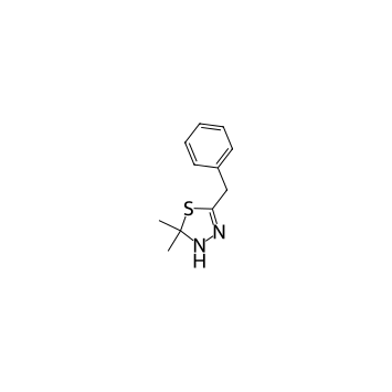 CC1(C)NN=C(Cc2ccccc2)S1